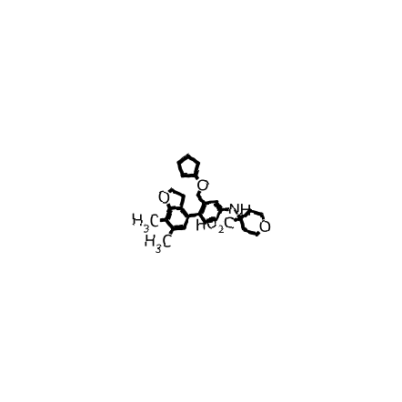 Cc1cc(-c2ccc(NC3(C(=O)O)CCOCC3)cc2COC2CCCC2)c2c(c1C)OCC2